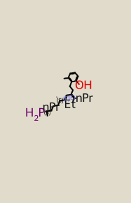 CCC/C(C)=C(/C=C(\CC)[C@@H](C)CCC[C@@](C)(P)CCC)CCc1c(C)cccc1O